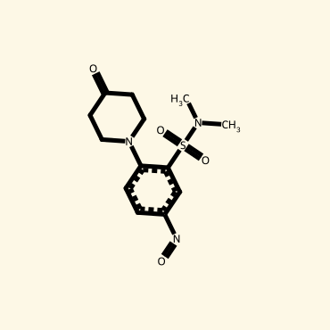 CN(C)S(=O)(=O)c1cc(N=O)ccc1N1CCC(=O)CC1